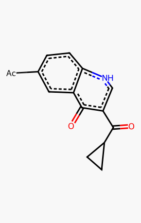 CC(=O)c1ccc2[nH]cc(C(=O)C3CC3)c(=O)c2c1